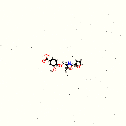 COc1cc(C(=O)O)ccc1OCc1nc(-c2ccco2)oc1C